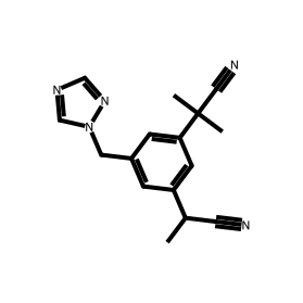 CC(C#N)c1cc(Cn2cncn2)cc(C(C)(C)C#N)c1